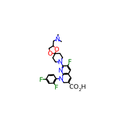 CN(C)CC1COC2(CCN(c3nc4c(cc3F)C=C(C(=O)O)CN4c3ccc(F)cc3F)CC2)O1